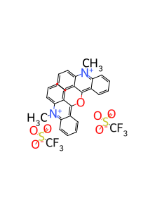 C[n+]1c2ccccc2c(Oc2c3ccccc3[n+](C)c3ccccc23)c2ccccc21.O=S(=O)([O-])C(F)(F)F.O=S(=O)([O-])C(F)(F)F